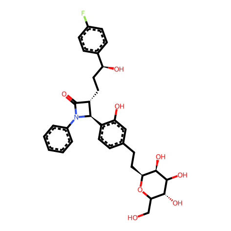 O=C1[C@H](CC[C@H](O)c2ccc(F)cc2)[C@@H](c2ccc(CC[C@@H]3OC(CO)[C@@H](O)C(O)[C@@H]3O)cc2O)N1c1ccccc1